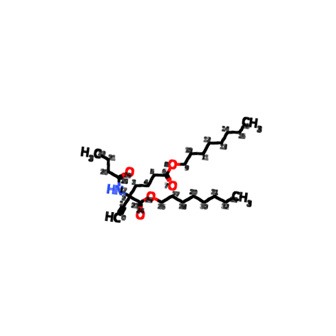 C#CC(CCCC(=O)OCCCCCCCC)(NC(=O)CCC)C(=O)OCCCCCCCC